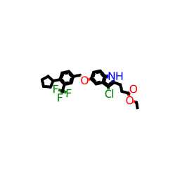 CCOC(=O)CCc1[nH]c2ccc(OCc3ccc(C4CCCC4)c(C(F)(F)F)c3)cc2c1Cl